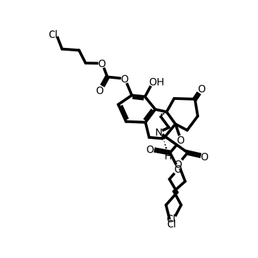 O=C1CCC2(OC(=O)OCCCCl)[C@H]3Cc4ccc(OC(=O)OCCCCl)c(O)c4[C@@]2(CCN3C(=O)OCCCCl)C1